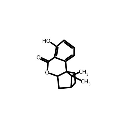 CC1(C)C2CCC13c1cccc(O)c1C(=O)OC3C2